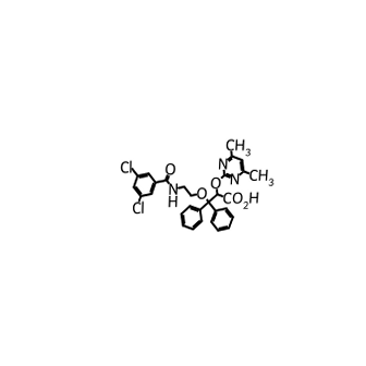 Cc1cc(C)nc(OC(C(=O)O)C(OCCNC(=O)c2cc(Cl)cc(Cl)c2)(c2ccccc2)c2ccccc2)n1